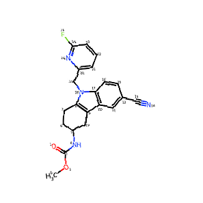 COC(=O)NC1CCc2c(c3cc(C#N)ccc3n2Cc2cccc(F)n2)C1